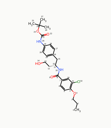 CCCOc1ccc(C(=O)N[C@H](CCO)Cc2ccc(NC(=O)OC(C)(C)C)cc2)cc1Cl